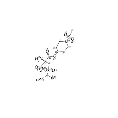 CCCC(CCC)S(=O)(=O)C[C@](N)(C(N)=O)C(=O)OC1CCN(S(C)(=O)=O)CC1